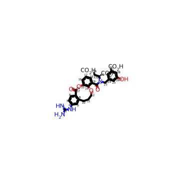 N=C(N)Nc1ccc2c(c1)CCCOc1c(cccc1C(=O)N(Cc1cc(O)cc(C(=O)O)c1)[C@@H](CC(=O)O)C(=O)O)OC2=O